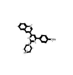 COc1ccc(-c2cc(-c3cnc4ccccc4c3)nc(N3CCNCC3)n2)cc1